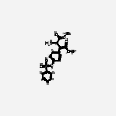 CC(C)OC(=O)C(c1ccc(OS(=O)(=O)c2ccccc2)cc1)C(N)C(=O)OC(C)(C)C